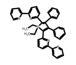 CC[Si]1(CC)C(c2cccc(-c3ccccn3)n2)=C(c2ccccc2)C(c2ccccc2)=C1c1cccc(-c2ccccn2)n1